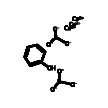 Oc1ccccc1.[Ca+2].[Ca+2].[Ca+2].[O-]B([O-])[O-].[O-]B([O-])[O-]